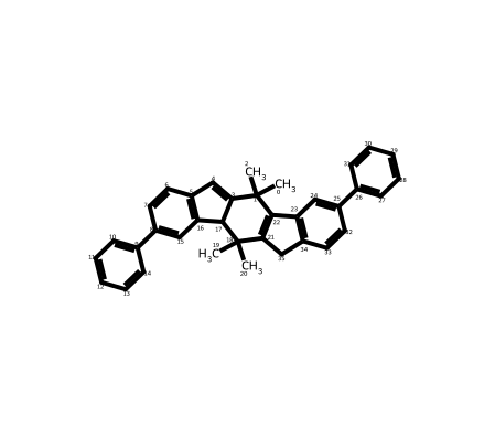 CC1(C)C2=Cc3ccc(-c4ccccc4)cc3C2C(C)(C)C2=C1c1cc(-c3ccccc3)ccc1C2